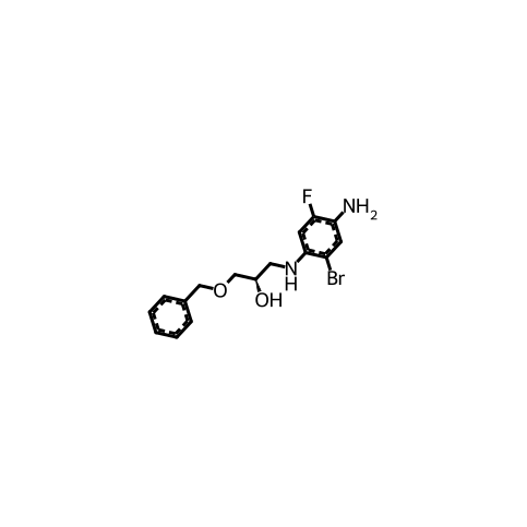 Nc1cc(Br)c(NC[C@@H](O)COCc2ccccc2)cc1F